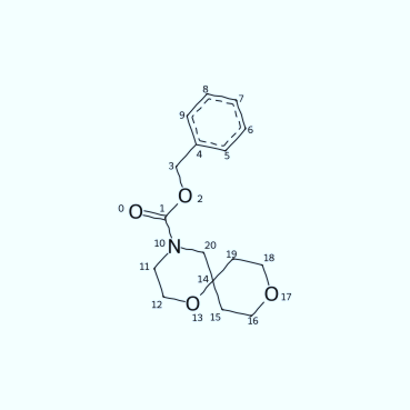 O=C(OCc1ccccc1)N1CCOC2(CCOCC2)C1